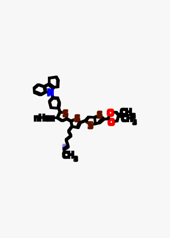 C/C=C/CCCC1C=C(C2CC3SC(C4OCC(C)(C)CO4)=CC3S2)SC1C1CC(CCCCCC)C(C2=CC=C(n3c4c(c5c3C=CCC5)CCC=C4)CC2)S1